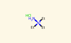 CC[N+](N)(CC)CC.Cl